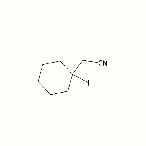 N#CCC1(I)CCCCC1